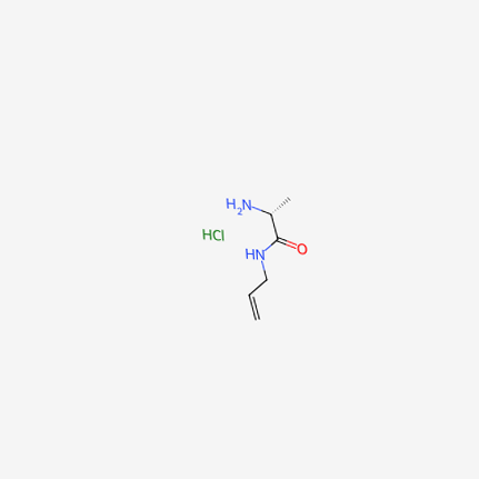 C=CCNC(=O)[C@@H](C)N.Cl